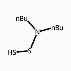 CCCCN(CCCC)SS